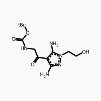 CC(C)(C)OC(=O)NCC(=O)c1c(N)nn(CCO)c1N